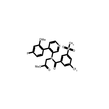 COC(=O)CN(C(=O)c1cc(C(F)(F)F)cc(S(C)(=O)=O)c1)c1cnccc1-c1ccc(F)cc1OC